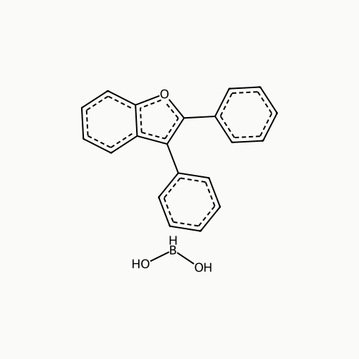 OBO.c1ccc(-c2oc3ccccc3c2-c2ccccc2)cc1